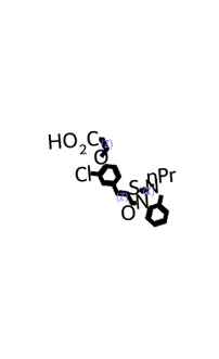 CCC/N=C1\S/C(=C\c2ccc(O/C=C\C(=O)O)c(Cl)c2)C(=O)N1c1ccccc1C